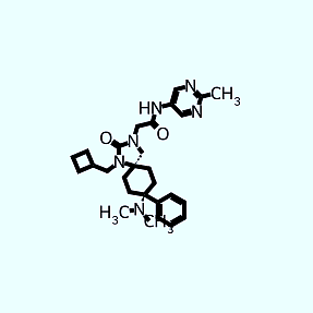 Cc1ncc(NC(=O)CN2C[C@]3(CC[C@@](c4ccccc4)(N(C)C)CC3)N(CC3CCC3)C2=O)cn1